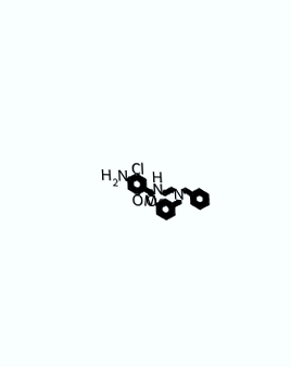 COc1cc(N)c(Cl)cc1C(=O)NCCN(Cc1ccccc1)Cc1ccccc1